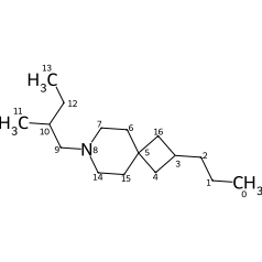 CCCC1CC2(CCN(CC(C)CC)CC2)C1